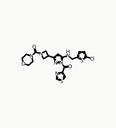 O=C(N1CCOCC1)N1CC(c2cc(NCc3ccc(Cl)s3)n(C(=O)c3cscn3)n2)C1